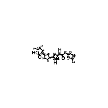 CC[C@H](C)CN(C(=O)O)C1CCC(c2cc(NC(=O)Cc3cnc(C)s3)n[nH]2)C1